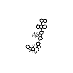 C=Cc1oc2cc(-c3ccc4c(c3)C(C)(C)c3cc(-c5c6c(c(-c7cccc8ccccc78)c7ccccc57)=CCCC=6)ccc3-4)ccc2c1-c1ccc2oc3c(c2c1C)CCC=C3